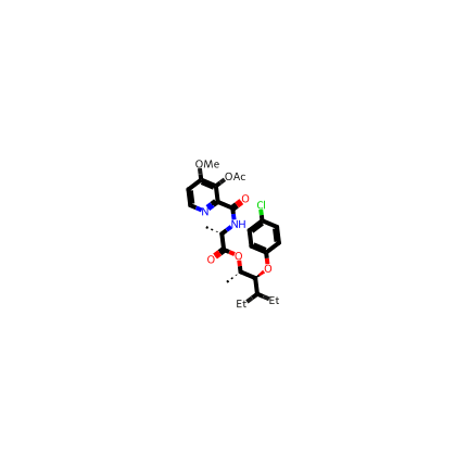 CCC(CC)[C@H](Oc1ccc(Cl)cc1)[C@H](C)OC(=O)[C@H](C)NC(=O)c1nccc(OC)c1OC(C)=O